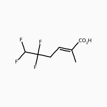 C/C(=C\CC(F)(F)C(F)F)C(=O)O